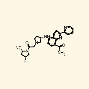 N#C[C@@H]1C[C@H](F)CN1C(=O)CN1CC[C@H](Nc2ccc(C(N)=O)c3nc(-c4ccccn4)ccc23)C1